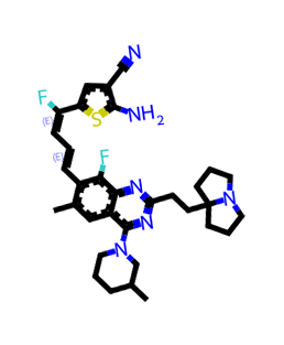 Cc1cc2c(N3CCCC(C)C3)nc(CCC34CCCN3CCC4)nc2c(F)c1/C=C/C=C(/F)c1cc(C#N)c(N)s1